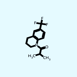 CC(C)C(=O)N1CCCc2cc(C(F)(F)F)ccc21